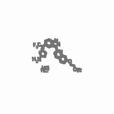 CCOCCOc1ccc2ccc(-c3nnc4ccc([C@@H](N5CCC(N)C5)C(F)(F)F)cn34)nc2c1.Cl.Cl